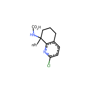 CCCC1(NC(=O)O)CCCc2ccc(Cl)nc21